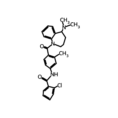 Cc1cc(NC(=O)c2ccccc2Cl)ccc1C(=O)N1CCCC(N(C)C)c2ccccc21